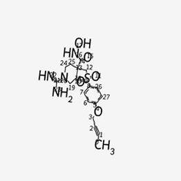 CC#CCOc1ccc(S(=O)(=O)CC2(C(=O)NO)CCN(C(=N)N)CC2)cc1